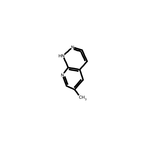 Cc1cnc2c(c1)C=C=NN2